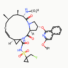 CC(C)Oc1cc2ccccc2c(O[C@@H]2C[C@H]3C(=O)N[C@]4(C(=O)NS(=O)(=O)C5(CF)CC5)C[C@H]4/C=C\CC[C@@H](C)C[C@@H](C)[C@H](NC(=O)O)C(=O)N3C2)n1